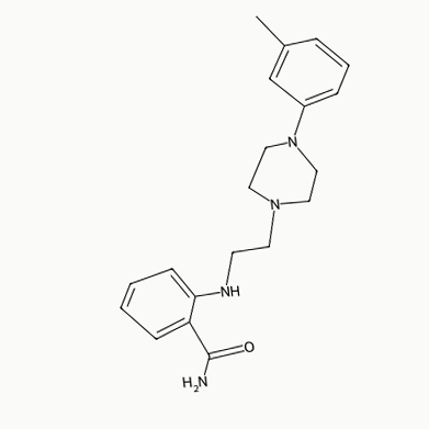 Cc1cccc(N2CCN(CCNc3ccccc3C(N)=O)CC2)c1